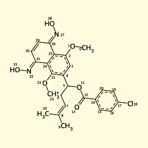 COc1cc(C(CC=C(C)C)OC(=O)c2ccc(Cl)cc2)c(OC)c2c1C(=NO)C=CC2=NO